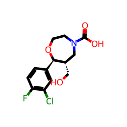 O=C(O)N1CCO[C@H](c2ccc(F)c(Cl)c2)[C@@H](CO)C1